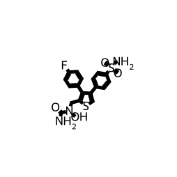 NC(=O)N(O)Cc1scc(-c2ccc(S(N)(=O)=O)cc2)c1-c1ccc(F)cc1